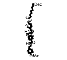 CCCCCCCCCCCCCCCCCC(=O)OCc1ccc(C(=O)NS(=O)(=O)c2ccc(C(=O)NCCc3ccc(OC)cc3)cc2)cn1